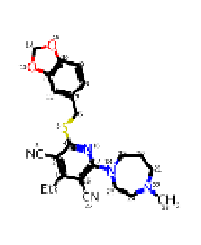 CCc1c(C#N)c(SCc2ccc3c(c2)OCO3)nc(N2CCCN(C)CC2)c1C#N